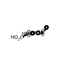 O=C(O)CCCNS(=O)(=O)c1ccc(N2CCN(C(=O)OCc3ccccc3)CC2)cc1